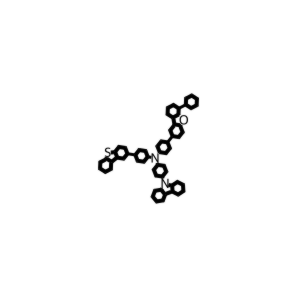 c1ccc(-c2cccc3c2oc2ccc(-c4ccc(N(c5ccc(-c6ccc7sc8ccccc8c7c6)cc5)c5ccc(-n6c7ccccc7c7ccccc76)cc5)cc4)cc23)cc1